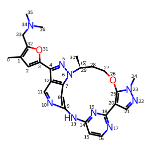 Cc1cc(-c2nn3c4cc(ncc24)Nc2ccnc(n2)-c2cnn(C)c2OCC[C@@H]3C)oc1CN(C)C